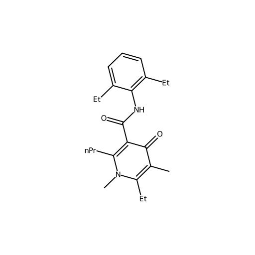 CCCc1c(C(=O)Nc2c(CC)cccc2CC)c(=O)c(C)c(CC)n1C